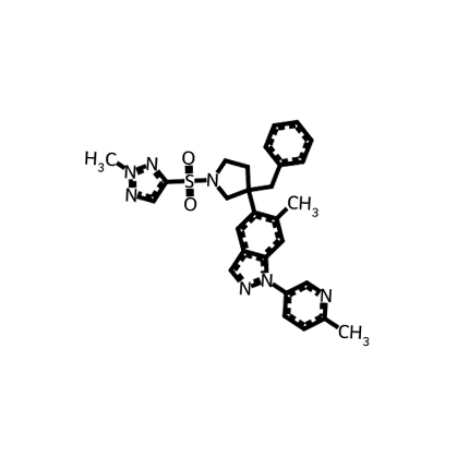 Cc1ccc(-n2ncc3cc(C4(Cc5ccccc5)CCN(S(=O)(=O)c5cnn(C)n5)C4)c(C)cc32)cn1